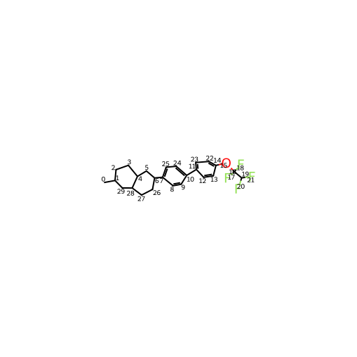 CC1CCC2CC(c3ccc(-c4ccc(OC(F)(F)C(F)F)cc4)cc3)CCC2C1